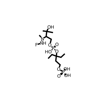 CCC(CC)(CCOP(=O)(O)O)OP(=O)(O)OCC(N(C)NF)C(C)(C)O